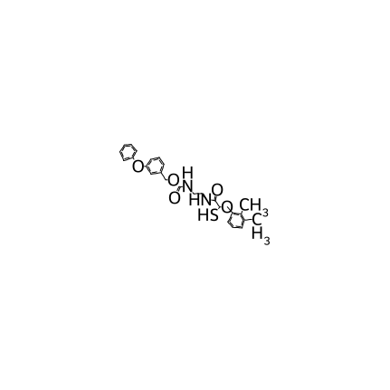 Cc1cccc(OC(S)C(=O)NCCNC(=O)OCc2cccc(Oc3ccccc3)c2)c1C